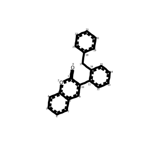 O=c1oc2ccccc2cc1-c1ccccc1Cc1ccccc1